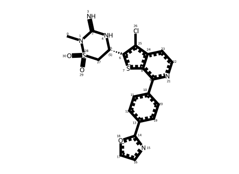 CN1C(=N)N[C@H](c2sc3c(-c4ccc(-c5ncco5)cc4)nccc3c2Cl)CS1(=O)=O